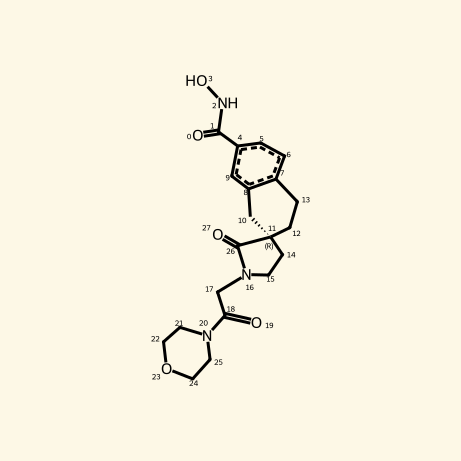 O=C(NO)c1ccc2c(c1)C[C@]1(CC2)CCN(CC(=O)N2CCOCC2)C1=O